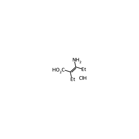 CC/C(N)=C(\CC)C(=O)O.Cl